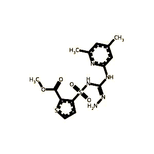 COC(=O)c1sccc1S(=O)(=O)N/C(=N\N)Nc1cc(C)cc(C)n1